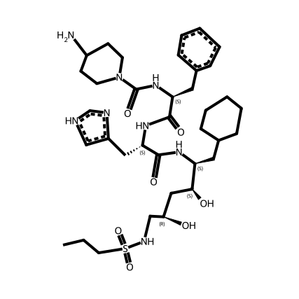 CCCS(=O)(=O)NC[C@H](O)C[C@H](O)[C@H](CC1CCCCC1)NC(=O)[C@H](Cc1c[nH]cn1)NC(=O)[C@H](Cc1ccccc1)NC(=O)N1CCC(N)CC1